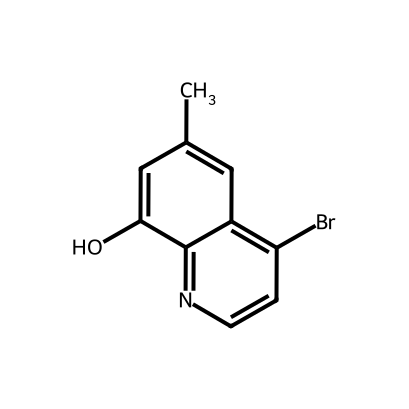 Cc1cc(O)c2nccc(Br)c2c1